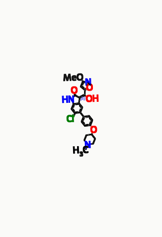 COc1cc(/C(O)=C2\C(=O)Nc3cc(Cl)c(-c4ccc(OC5CCN(C)CC5)cc4)cc32)on1